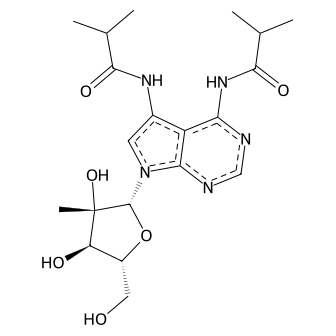 CC(C)C(=O)Nc1cn([C@@H]2O[C@H](CO)[C@@H](O)[C@]2(C)O)c2ncnc(NC(=O)C(C)C)c12